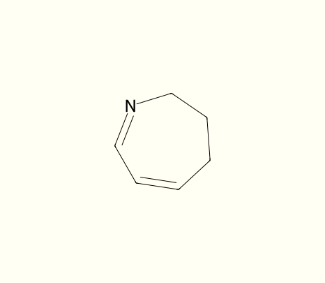 C1=CCCCN=C1